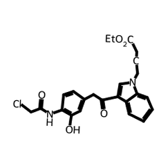 CCOC(=O)CCCn1cc(C(=O)Cc2ccc(NC(=O)CCl)c(O)c2)c2ccccc21